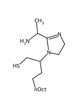 CCCCCCCCCCC(CS)N1CCN=C1C(C)N